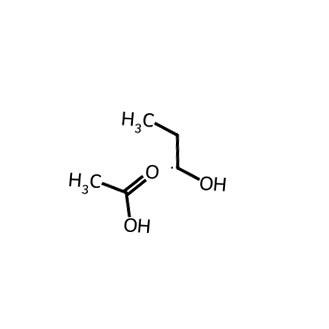 CC(=O)O.CC[CH]O